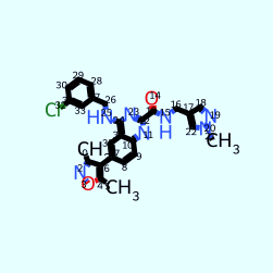 Cc1noc(C)c1-c1ccc2nc(C(=O)NCc3cnn(C)c3)nc(NCc3cccc(Cl)c3)c2c1